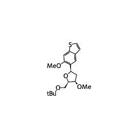 COc1cc2sccc2cc1[C@H]1C[C@@H](OC)[C@@H](COC(C)(C)C)O1